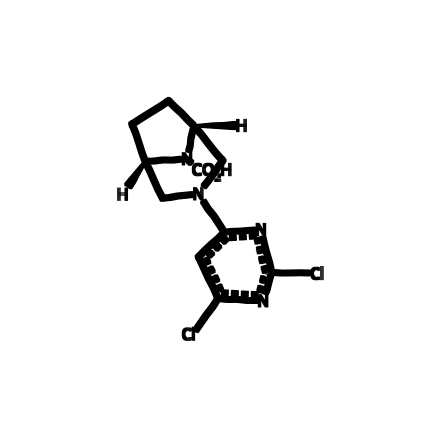 O=C(O)N1[C@@H]2CC[C@H]1CN(c1cc(Cl)nc(Cl)n1)C2